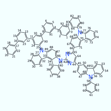 c1ccc(-c2cccc(-c3cc(-c4cccc(-c5ccccc5)c4)cc(-n4c5ccccc5c5c6c7ccccc7n(-c7nc(-c8ccc9c(c8)c8ccccc8n9-c8ccccc8)cc(-c8ccc9c(c8)c8ccccc8n9-c8ccccc8)n7)c6ccc54)c3)c2)cc1